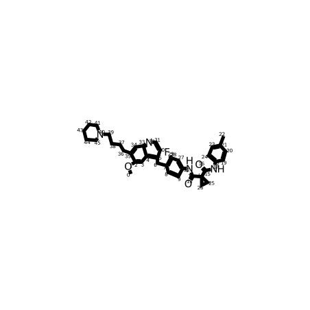 COc1cc2c(Cc3ccc(NC(=O)C4(C(=O)Nc5ccc(C)cc5)CC4)cc3F)ccnc2cc1CCCCN1CCCCC1